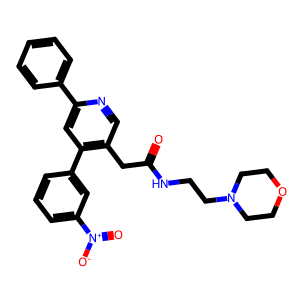 O=C(Cc1cnc(-c2ccccc2)cc1-c1cccc([N+](=O)[O-])c1)NCCN1CCOCC1